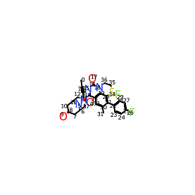 CC#CC(=O)N1C2CC(=O)CC1CN(c1nc(=O)n3c4c(c(-c5ccc(F)cc5F)c(C)cc14)SCC3)C2